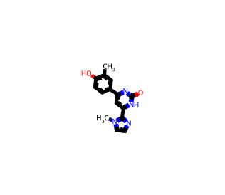 Cc1cc(-c2cc(-c3nccn3C)[nH]c(=O)n2)ccc1O